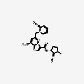 CNc1cc(CN2C=CC=CC2=C=O)nn2c(C(=O)N[C@@H]3CCN(C)C3=C=O)cnc12